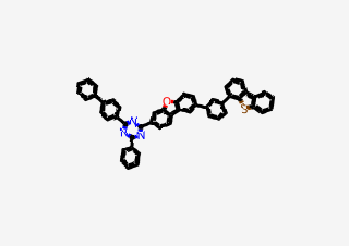 c1ccc(-c2ccc(-c3nc(-c4ccccc4)nc(-c4ccc5c(c4)oc4ccc(-c6cccc(-c7cccc8c7sc7ccccc78)c6)cc45)n3)cc2)cc1